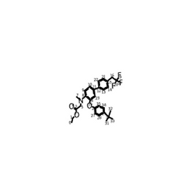 CCOC(=O)CN(C)c1ccc(-c2ccc(CC(F)(F)F)cc2)cc1Oc1ccc(C(C)(C)C)cc1